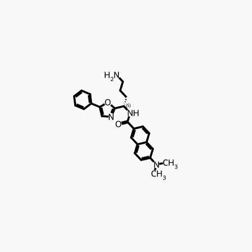 CN(C)c1ccc2cc(C(=O)N[C@@H](CCCN)c3ncc(-c4ccccc4)o3)ccc2c1